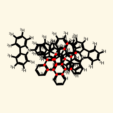 [2H]c1c([2H])c([2H])c([Si](c2c([2H])c([2H])c([2H])c([2H])c2[2H])(c2c([2H])c([2H])c([2H])c([2H])c2[2H])c2c([2H])c([2H])c([2H])c(-c3ccccc3N(c3cccc(-n4c5c([2H])c([2H])c([2H])c([2H])c5c5c([2H])c([2H])c([2H])c([2H])c54)c3)c3cc(C(C)(C)C)cc(N(c4cccc(-n5c6c([2H])c([2H])c([2H])c([2H])c6c6c([2H])c([2H])c([2H])c([2H])c65)c4)c4ccccc4-c4c([2H])c([2H])c([2H])c([Si](c5c([2H])c([2H])c([2H])c([2H])c5[2H])(c5c([2H])c([2H])c([2H])c([2H])c5[2H])c5c([2H])c([2H])c([2H])c([2H])c5[2H])c4[2H])c3Br)c2[2H])c([2H])c1[2H]